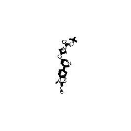 CN1C(=C=O)Sc2cc(-c3cncc(OC4CN(C(=O)OC(C)(C)C)C4)c3)ccc21